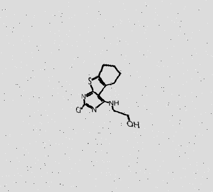 OCCNc1nc(Cl)nc2sc3c(c12)CCCC3